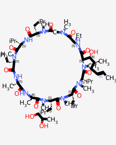 C/C=C/C[C@@H](C)[C@@H](O)[C@H]1C(=O)N[C@@H](CC)C(=O)N(C)CC(=O)N(C)[C@@H](CC(C)C)C(=O)N[C@@H](C(C)C)C(=O)N(C)[C@@H](CC(C)C)C(=O)N[C@@H](C)C(=O)N[C@H](C)C(=O)N(C)[C@@H](CC(C)C)C(=O)N(C)[C@@H](CC(C)C)C(=O)N(C)[C@@H](C(C)C)C(=O)N1C.CC(O)CO